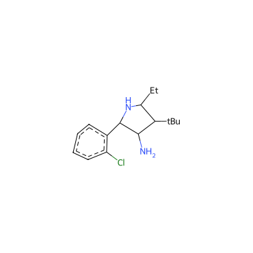 CCC1NC(c2ccccc2Cl)C(N)C1C(C)(C)C